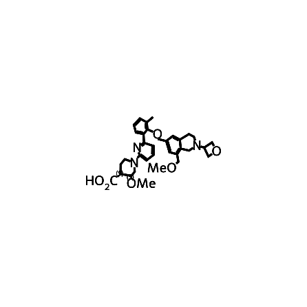 COCc1cc(COc2c(C)cccc2-c2cccc(N3CC[C@H](C(=O)O)[C@H](OC)C3)n2)cc2c1CN(C1COC1)CC2